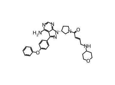 Nc1ncnc2c1c(-c1ccc(Oc3ccccc3)cc1)nn2[C@@H]1CCN(C(=O)/C=C/CNC2CCOCC2)C1